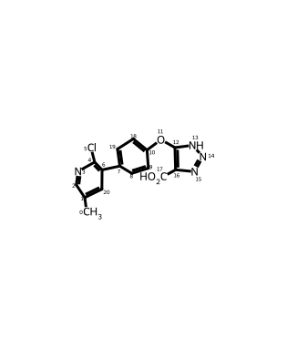 Cc1cnc(Cl)c(-c2ccc(Oc3[nH]nnc3C(=O)O)cc2)c1